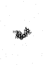 COc1ccc(F)c(F)c1C(C)Oc1cc(-n2c(=O)[nH]c3csc(C(=O)O)c3c2=O)c(F)cc1F